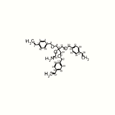 C=Cc1ccc(COCC(COCc2ccc(C=C)cc2)(COCc2ccc(C=C)cc2)OCN)cc1